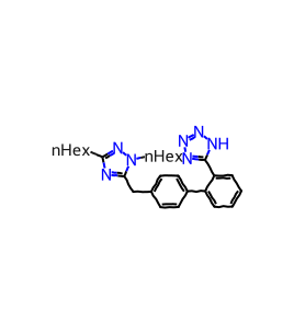 CCCCCCc1nc(Cc2ccc(-c3ccccc3-c3nnn[nH]3)cc2)n(CCCCCC)n1